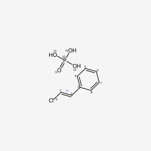 Cl/C=C/c1ccccc1.O=P(O)(O)O